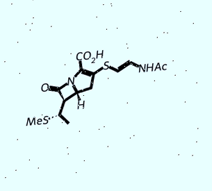 CS[C@@H](C)[C@H]1C(=O)N2C(C(=O)O)=C(S/C=C/NC(C)=O)C[C@H]12